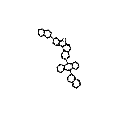 c1ccc2cc(-c3ccc4c(c3)oc3ccc5cc(-c6c7ccccc7c(-c7ccc8ccccc8c7)c7ccccc67)ccc5c34)ccc2c1